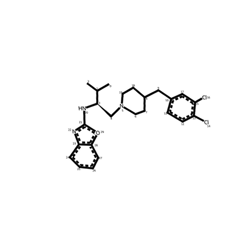 CC(C)[C@@H](CN1CCC(Cc2ccc(Cl)c(Cl)c2)CC1)Nc1nc2ccccc2o1